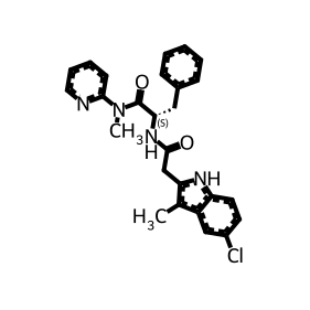 Cc1c(CC(=O)N[C@@H](Cc2ccccc2)C(=O)N(C)c2ccccn2)[nH]c2ccc(Cl)cc12